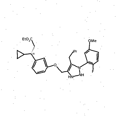 CCOC(=O)C[C@H](c1cccc(OCC2=C(CC(C)C)N(c3cc(OC)ccc3F)NN2)c1)C1CC1